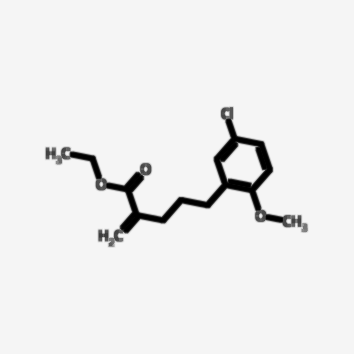 C=C(CCCc1cc(Cl)ccc1OC)C(=O)OCC